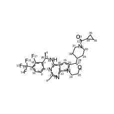 Cc1nc(N[C@H](C)c2cccc(C(F)(F)F)c2F)c2cc3n(c2n1)CCOC3C1CCN(C(=O)C2CC2)CC1